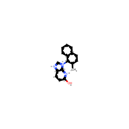 Cc1ccc2ccccc2c1-n1cnc2ccc(O)nc21